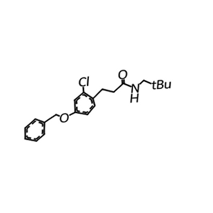 CC(C)(C)CNC(=O)CCc1ccc(OCc2ccccc2)cc1Cl